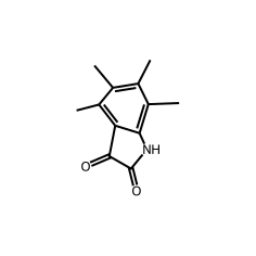 Cc1c(C)c(C)c2c(c1C)NC(=O)C2=O